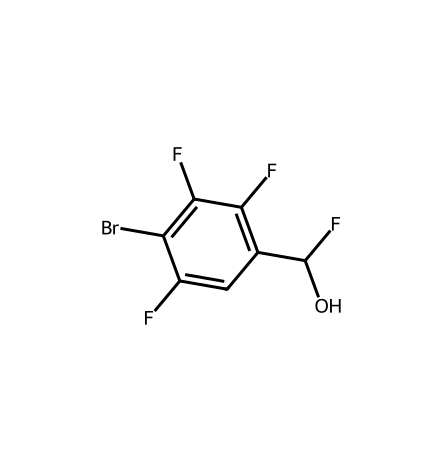 OC(F)c1cc(F)c(Br)c(F)c1F